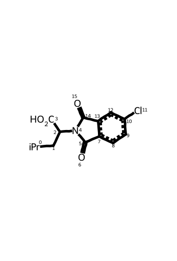 CC(C)CC(C(=O)O)N1C(=O)c2ccc(Cl)cc2C1=O